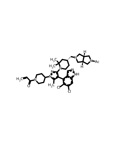 C=CC(=O)N1CCC(n2nc(N3CC[C@@H](CN4C[C@@H]5CN(C(C)=O)C[C@@H]5C4)CC3(C)C)c(-c3c(Cl)c(Cl)cc4[nH]ncc34)c2C)CC1